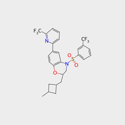 CC1CC(CC2CN(S(=O)(=O)c3cccc(C(F)(F)F)c3)c3cc(-c4cccc(C(F)(F)F)n4)ccc3O2)C1